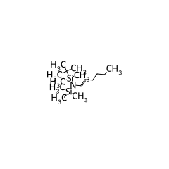 CCCCC=CN([Si](C)(C)C)[Si](C)(C)C(C)(C)C